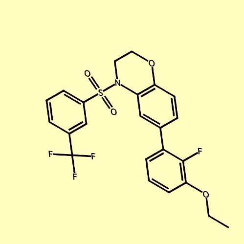 CCOc1cccc(-c2ccc3c(c2)N(S(=O)(=O)c2cccc(C(F)(F)F)c2)CCO3)c1F